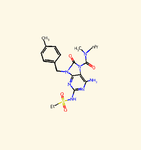 CCCN(C)C(=O)n1c(=O)n(Cc2ccc(C)cc2)c2nc(NS(=O)(=O)CC)nc(N)c21